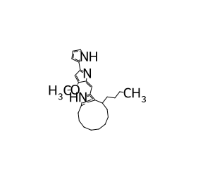 CCCCC1CCCCCCCCc2cc1c(/C=C1/N=C(c3ccc[nH]3)C=C1OC)[nH]2